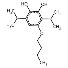 CCCCOc1cc(C(C)C)c(O)c(O)c1C(C)C